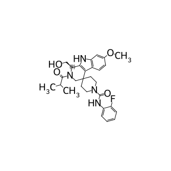 COc1ccc2c3c([nH]c2c1)[C@H](CO)N(C(=O)C(C)C)CC31CCN(C(=O)Nc2ccccc2F)CC1